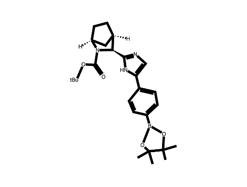 CC(C)(C)OC(=O)N1[C@H]2CC[C@H](C2)[C@H]1c1ncc(-c2ccc(B3OC(C)(C)C(C)(C)O3)cc2)[nH]1